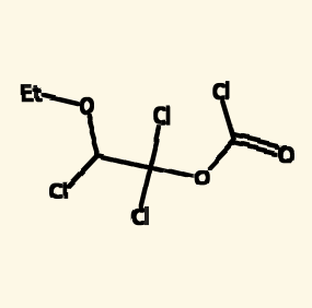 CCOC(Cl)C(Cl)(Cl)OC(=O)Cl